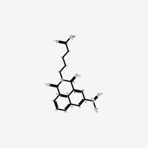 O=C(O)CCCCN1C(=O)c2cccc3cc([N+](=O)[O-])cc(c23)C1=O